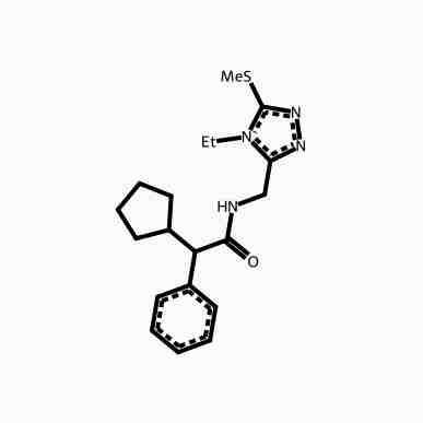 CCn1c(CNC(=O)C(c2ccccc2)C2CCCC2)nnc1SC